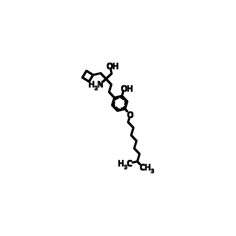 CC(C)CCCCCCOc1ccc(CCC(N)(CO)CC2CCC2)c(O)c1